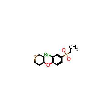 CCS(=O)(=O)c1ccc(OC2CCSCC2)c(Br)c1